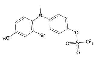 CN(c1ccc(OS(=O)(=O)C(F)(F)F)cc1)c1ccc(O)cc1Br